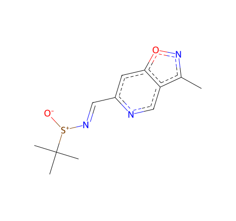 Cc1noc2cc(/C=N/[S+]([O-])C(C)(C)C)ncc12